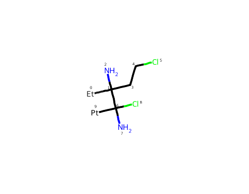 CCC(N)(CCCl)[C](N)(Cl)[Pt]